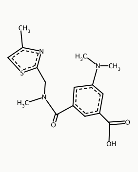 Cc1csc(CN(C)C(=O)c2cc(C(=O)O)cc(N(C)C)c2)n1